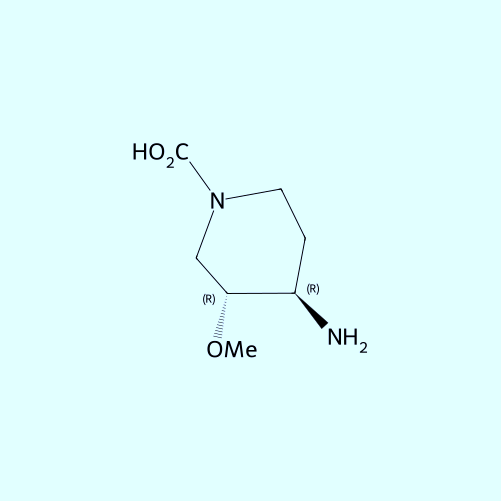 CO[C@@H]1CN(C(=O)O)CC[C@H]1N